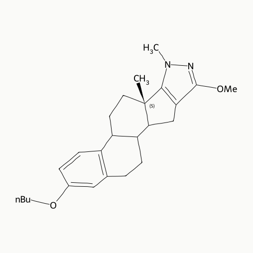 CCCCOc1ccc2c(c1)CCC1C2CC[C@]2(C)c3c(c(OC)nn3C)CC12